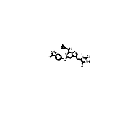 NC(=O)c1ccc(Oc2nc(NC3CC3)n3ncc(/C=C4\NC(=O)NC4=O)c3n2)cc1